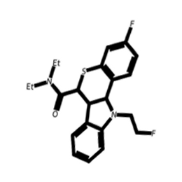 CCN(CC)C(=O)C1Sc2cc(F)ccc2C2C1c1ccccc1N2CCF